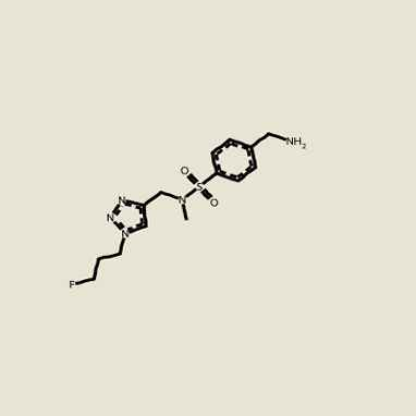 CN(Cc1cn(CCCF)nn1)S(=O)(=O)c1ccc(CN)cc1